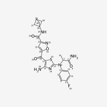 CC(C(N)=O)N(c1ccc(F)cc1)c1nc(N)c(C(=O)c2cc(C(=O)NC34CC(C3)C4)no2)s1